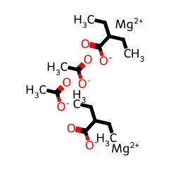 CC(=O)[O-].CC(=O)[O-].CCC(CC)C(=O)[O-].CCC(CC)C(=O)[O-].[Mg+2].[Mg+2]